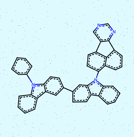 c1ccc(-n2c3ccccc3c3cc(-c4ccc5c6ccccc6n(-c6ccc7c8c(cccc68)-c6ncncc6-7)c5c4)ccc32)cc1